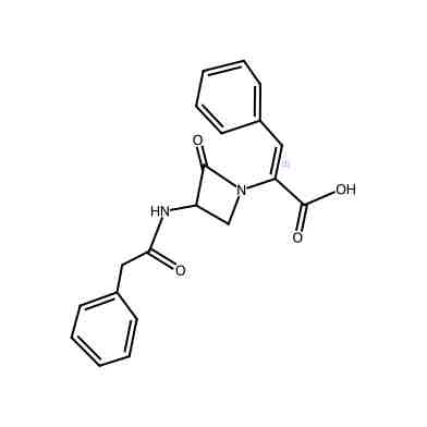 O=C(Cc1ccccc1)NC1CN(/C(=C\c2ccccc2)C(=O)O)C1=O